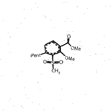 CCCC(C)c1ccc(C(=O)OC)c(OC)c1S(C)(=O)=O